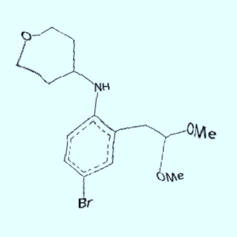 COC(Cc1cc(Br)ccc1NC1CCOCC1)OC